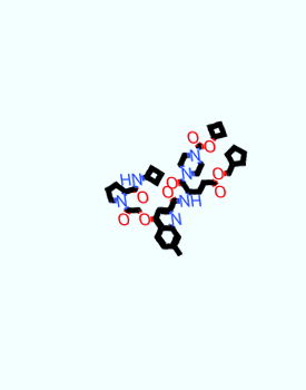 Cc1ccc2c(OCC(=O)N3CCCC3C(=O)NC3CCC3)cc(C(=O)NC(CCC(=O)OCC3CCCC3)C(=O)N3CCN(C(=O)OC4CCC4)CC3)nc2c1